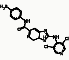 Bc1ccc(NC(=O)C2=NCC3NC(Nc4c(Cl)cncc4Cl)=NC3=C2)cc1